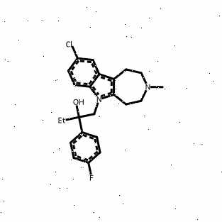 CCC(O)(Cn1c2c(c3cc(Cl)ccc31)CCN(C)CC2)c1ccc(F)cc1